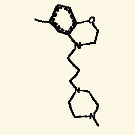 Cc1ccc2c(c1)N(CCCN1CCN(C)CC1)CCO2